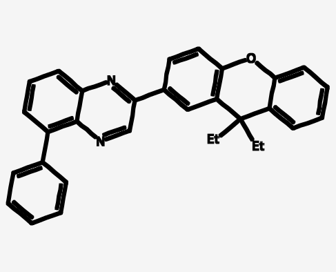 CCC1(CC)c2ccccc2Oc2ccc(-c3cnc4c(-c5ccccc5)cccc4n3)cc21